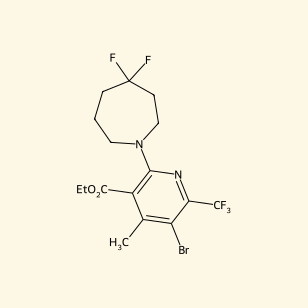 CCOC(=O)c1c(N2CCCC(F)(F)CC2)nc(C(F)(F)F)c(Br)c1C